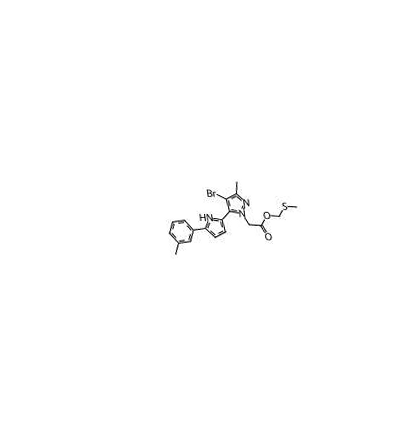 CSCOC(=O)Cn1nc(C)c(Br)c1-c1ccc(-c2cccc(C)c2)[nH]1